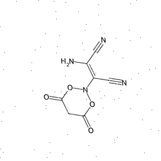 N#C/C(N)=C(\C#N)N1OC(=O)CC(=O)O1